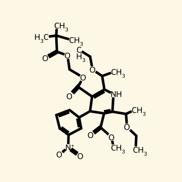 CCOC(C)C1=C(C(=O)OC)C(c2cccc([N+](=O)[O-])c2)C(C(=O)OCOC(=O)C(C)(C)C)=C(C(C)OCC)N1